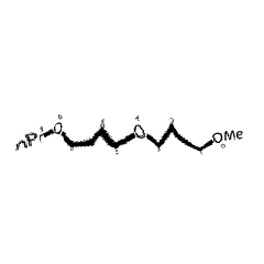 [CH2]OCCCOCCCOCCC